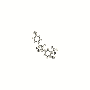 Cn1c(-c2ccc(Br)cc2)nnc1-c1ccc(Br)c(C(F)(F)F)c1